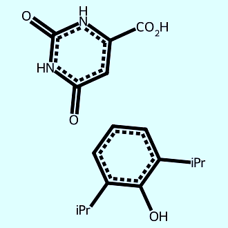 CC(C)c1cccc(C(C)C)c1O.O=C(O)c1cc(=O)[nH]c(=O)[nH]1